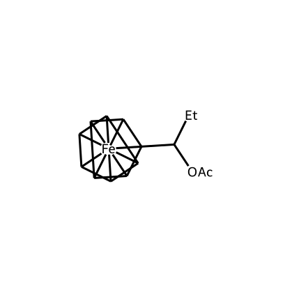 CCC(OC(C)=O)[C]12[CH]3[CH]4[CH]5[CH]1[Fe]45321678[CH]2[CH]1[CH]6[CH]7[CH]28